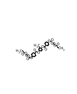 C=CC(=O)OOOC(=O)Oc1ccc(C(=O)Oc2ccc(OC(=O)c3ccc(OC(=O)OOOC(=O)C=C)cc3)c(C)c2)cc1